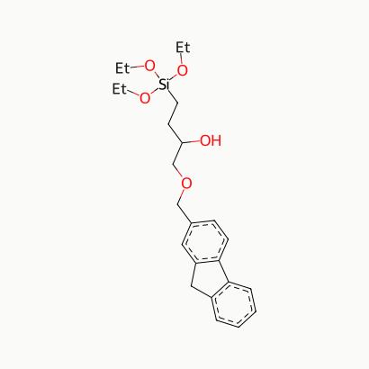 CCO[Si](CCC(O)COCc1ccc2c(c1)Cc1ccccc1-2)(OCC)OCC